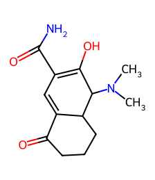 CN(C)C1C(O)=C(C(N)=O)C=C2C(=O)CCCC21